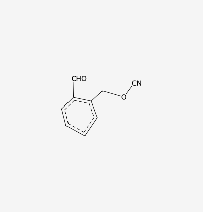 N#COCc1ccccc1C=O